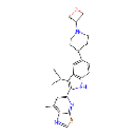 Cc1cc(-c2[nH]c3ccc(C4CCN(C5COC5)CC4)cc3c2C(C)C)nc2scnc12